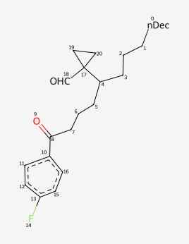 CCCCCCCCCCCCCC(CCCC(=O)c1ccc(F)cc1)C1(C=O)CC1